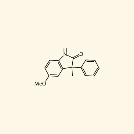 COc1ccc2c(c1)C(C)(c1ccccc1)C(=O)N2